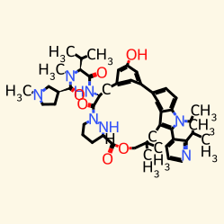 CCn1c(-c2cccnc2C(C)C)c2c3cc(ccc31)-c1cc(O)cc(c1)C[C@H](NC(=O)[C@H](C(C)C)N(C)C(=O)[C@H]1CCN(C)C1)C(=O)N1CCC[C@H](N1)C(=O)OCC(C)(C)C2